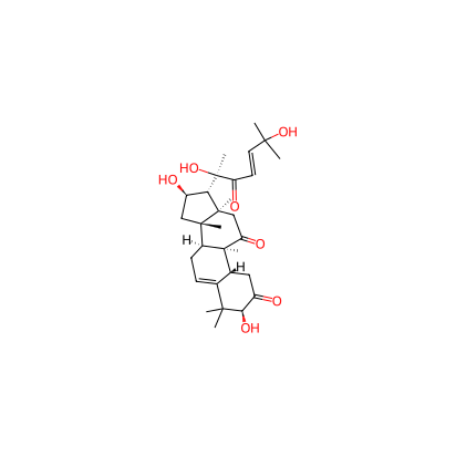 CC(C)(O)/C=C/C(=O)[C@](C)(O)[C@H]1[C@H](O)C[C@@]2(C)[C@@H]3CC=C4[C@@H](CC(=O)[C@@H](O)C4(C)C)[C@]3(C)C(=O)C[C@]12C